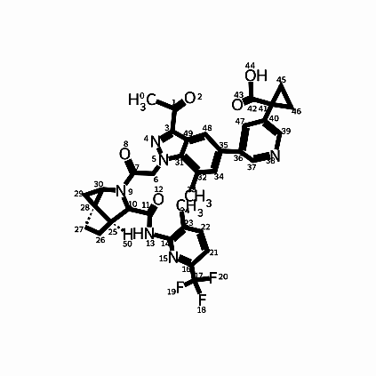 CC(=O)c1nn(CC(=O)N2C(C(=O)Nc3nc(C(F)(F)F)ccc3C)[C@H]3CC[C@@]34CC24)c2c(C)cc(-c3cncc(C4(C(=O)O)CC4)c3)cc12